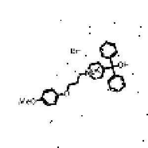 COc1ccc(OCCC[N+]23CCC(C(O)(c4ccccc4)c4ccccc4)(CC2)CC3)cc1.[Br-]